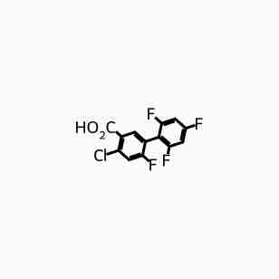 O=C(O)c1cc(-c2c(F)cc(F)cc2F)c(F)cc1Cl